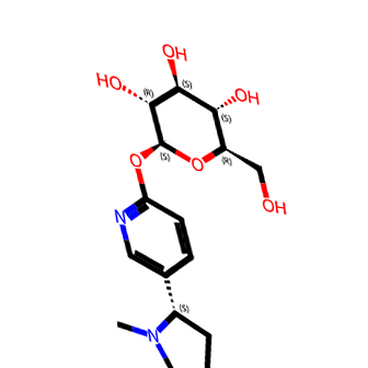 CN1CCC[C@H]1c1ccc(O[C@@H]2O[C@H](CO)[C@@H](O)[C@H](O)[C@H]2O)nc1